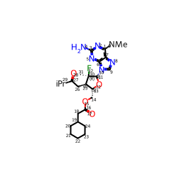 CNc1nc(N)nc2c1ncn2[C@@H]1O[C@H](COC(=O)CC2CCCCC2)[C@@H](CC(=O)C(C)C)[C@@]1(C)F